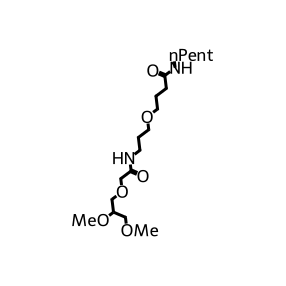 CCCCCNC(=O)CCCOCCCNC(=O)COCC(COC)OC